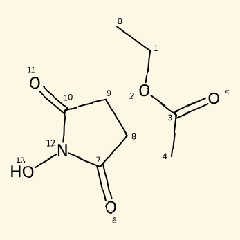 CCOC(C)=O.O=C1CCC(=O)N1O